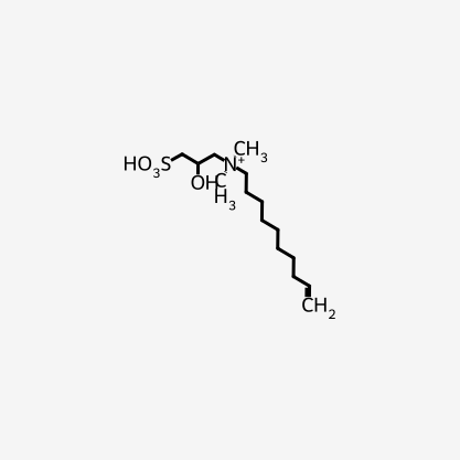 C=CCCCCCCCC[N+](C)(C)CC(O)CS(=O)(=O)O